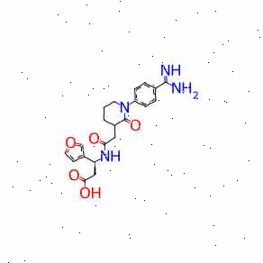 N=C(N)c1ccc(N2CCCC(CC(=O)N[C@@H](CC(=O)O)c3ccoc3)C2=O)cc1